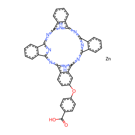 O=C(O)c1ccc(Oc2ccc3c4nc5nc(nc6[nH]c(nc7nc(nc([nH]4)c3c2)-c2ccccc2-7)c2ccccc62)-c2ccccc2-5)cc1.[Zn]